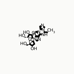 CCC(Nc1ncnc2c1N=C[N+]2([C@@H]1C[C@H](O)[C@@H](CO)O1)[C@@H]1O[C@H](CO)[C@@H](O)[C@H]1O)n1ccnc1